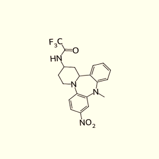 CN1c2ccccc2C2CC(NC(=O)C(F)(F)F)CCN2c2ccc([N+](=O)[O-])cc21